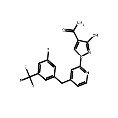 NC(=O)c1cn(-c2cc(Cc3cc(F)cc(C(F)(F)F)c3)ccn2)nc1O